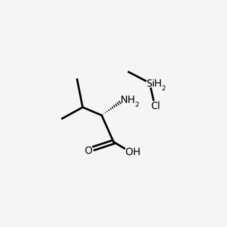 CC(C)[C@H](N)C(=O)O.C[SiH2]Cl